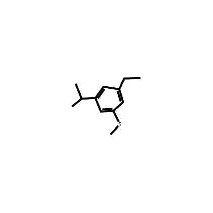 CCc1cc(SC)cc([C](C)C)c1